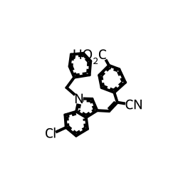 N#CC(=Cc1cn(Cc2ccccc2)c2cc(Cl)ccc12)c1ccc(C(=O)O)cc1